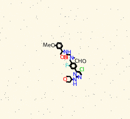 COc1cccc(C(CO)NC(=O)CN(C)Cc2c(F)cc(-c3nc(NC4CCOCC4)ncc3Cl)cc2C=O)c1